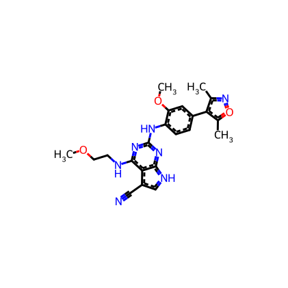 COCCNc1nc(Nc2ccc(-c3c(C)noc3C)cc2OC)nc2[nH]cc(C#N)c12